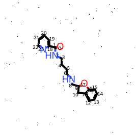 O=C(NCCCCNCC1Cc2ccccc2O1)c1ccccn1